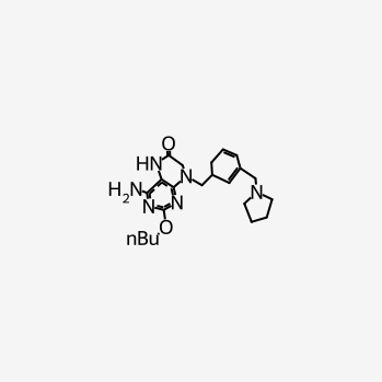 CCCCOc1nc(N)c2c(n1)N(CC1C=C(CN3CCCC3)C=CC1)CC(=O)N2